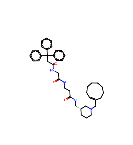 O=C(CCNC(=O)CNC(=O)CC(c1ccccc1)(c1ccccc1)c1ccccc1)NC[C@H]1CCCN(C/C2=C/CCCCCCC2)C1